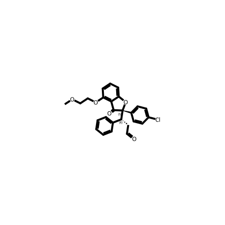 COCCOc1cccc2c1C(=O)[C@@](c1ccc(Cl)cc1)([C@H](CC=O)c1ccccc1)O2